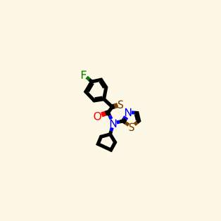 O=C(C(=S)c1ccc(F)cc1)N(c1nccs1)C1CCCC1